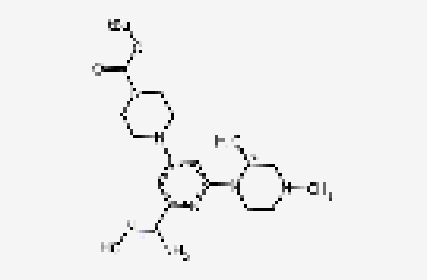 C[C@H]1CN(C)CCN1c1cc(N2CCN(C(=O)OC(C)(C)C)CC2)cc(/C(N)=N/O)n1